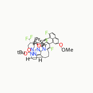 COCOc1cc(C2=C(F)C=C(OC[C@]3(C)CN(C)CC[C@@H]3C(F)F)N3C4=NCN5C6=C4[C@@H](CCCC3=C2F)[C@H](CC6)N5C(=O)OC(C)(C)C)c2c(C#C[Si](C(C)C)(C(C)C)C(C)C)c(F)ccc2c1